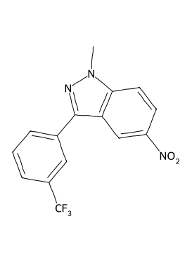 Cn1nc(-c2cccc(C(F)(F)F)c2)c2cc([N+](=O)[O-])ccc21